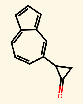 O=C1CC1c1cccc2cccc-2c1